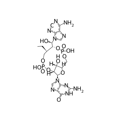 CC[C@@H]1COP(=O)(O)O[C@@H]2[C@H](O)[C@@H](COP(=O)(O)O[C@H]1[C@@H](O)n1cnc3c(N)ncnc31)O[C@H]2n1cnc2c(=O)[nH]c(N)nc21